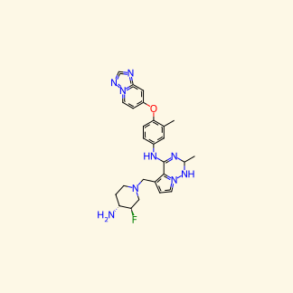 Cc1cc(NC2=NC(C)Nn3ccc(CN4CC[C@@H](N)[C@H](F)C4)c32)ccc1Oc1ccn2ncnc2c1